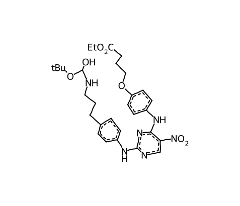 CCOC(=O)CCCOc1ccc(Nc2nc(Nc3ccc(CCCNC(O)OC(C)(C)C)cc3)ncc2[N+](=O)[O-])cc1